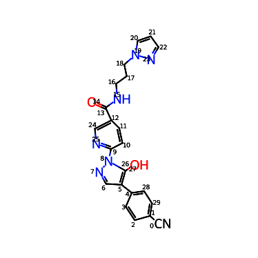 N#Cc1ccc(-c2cnn(-c3ccc(C(=O)NCCCn4cccn4)cn3)c2O)cc1